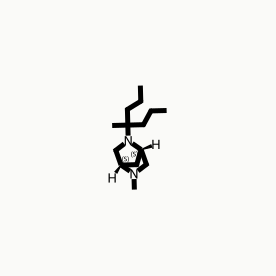 CCCC(C)(CCC)N1C[C@@H]2C[C@H]1CN2C